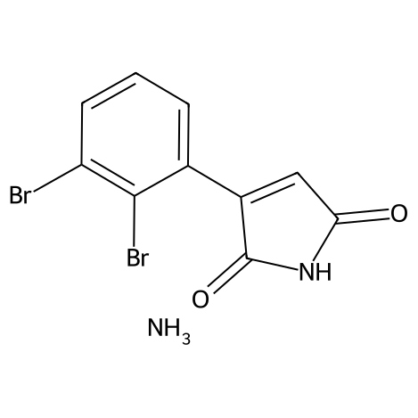 N.O=C1C=C(c2cccc(Br)c2Br)C(=O)N1